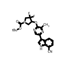 Cc1nc(-c2c[nH]c3c(C#N)cccc23)cnc1OC1CN(C(=O)OC(C)(C)C)CC1(F)F